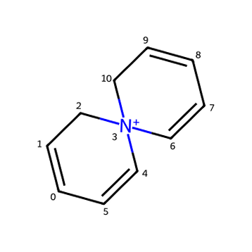 C1=CC[N+]2(C=C1)C=CC=CC2